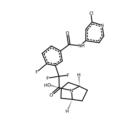 O=C(Nc1ccnc(Cl)c1)c1ccc(F)c(C(F)(F)C(=O)N2[C@@H]3CC[C@H]2C[C@H](O)C3)c1